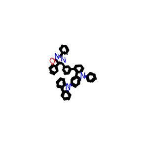 c1ccc(-c2nc(-c3cccc(-c4cccc5c4c4cc(-n6c7ccccc7c7ccccc76)ccc4n5-c4ccccc4)c3)c3c(n2)oc2ccccc23)cc1